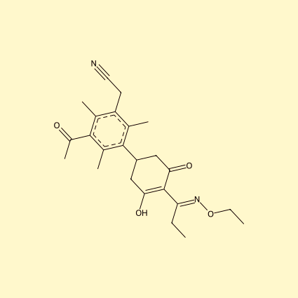 CCON=C(CC)C1=C(O)CC(c2c(C)c(CC#N)c(C)c(C(C)=O)c2C)CC1=O